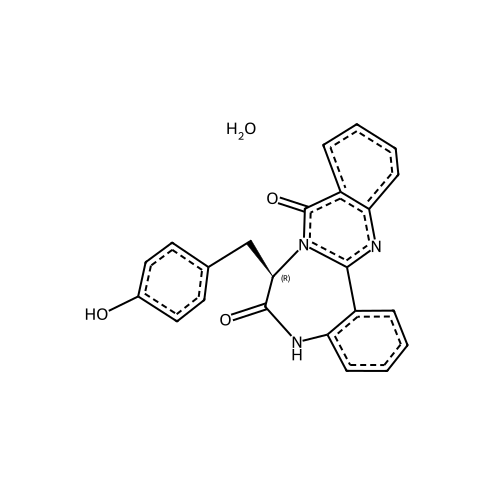 O.O=C1Nc2ccccc2-c2nc3ccccc3c(=O)n2[C@@H]1Cc1ccc(O)cc1